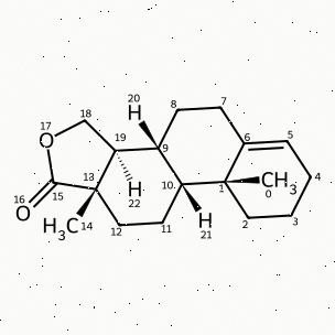 C[C@]12CCCC=C1CC[C@@H]1[C@H]2CC[C@]2(C)C(=O)OC[C@@H]12